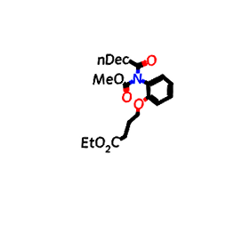 CCCCCCCCCCC(=O)N(C(=O)OC)c1ccccc1OCCCC(=O)OCC